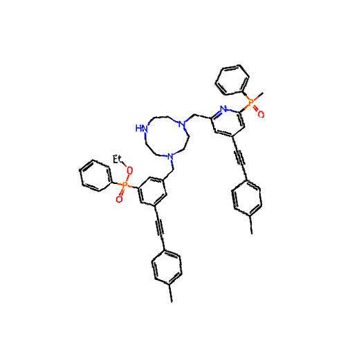 CCOP(=O)(c1ccccc1)c1cc(C#Cc2ccc(C)cc2)cc(CN2CCNCCN(Cc3cc(C#Cc4ccc(C)cc4)cc(P(C)(=O)c4ccccc4)n3)CC2)c1